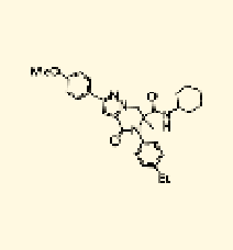 CCc1ccc(N2C(=O)c3cc(-c4ccc(OC)cc4)nn3CC2(C)C(=O)NC2CCCCC2)cc1